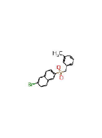 Cc1cccc(CS(=O)(=O)c2ccc3cc(Br)ccc3c2)c1